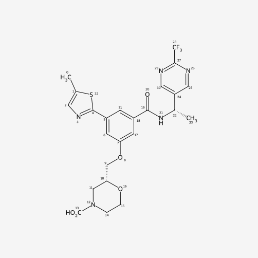 Cc1cnc(-c2cc(OC[C@H]3CN(C(=O)O)CCO3)cc(C(=O)N[C@@H](C)c3cnc(C(F)(F)F)nc3)c2)s1